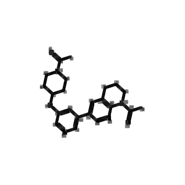 CC(=O)N1CCC(Oc2cncc(-c3cnc4c(c3)CCCN4C(C)=O)c2)CC1